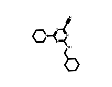 N#Cc1nc(NCC2CCCCC2)nc(N2CCCCC2)n1